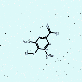 CCOc1c(OC)cc(C(=O)CC)cc1OC